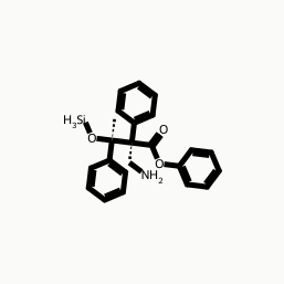 C[C@@](O[SiH3])(c1ccccc1)[C@](CN)(C(=O)Oc1ccccc1)c1ccccc1